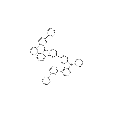 c1ccc(-c2cccc(-c3cccc4c3c3cc(-c5ccc6c(c5)c5ccccc5n6-c5cc(-c6ccccc6)ccc5-c5ccccc5)ccc3n4-c3ccccc3)c2)cc1